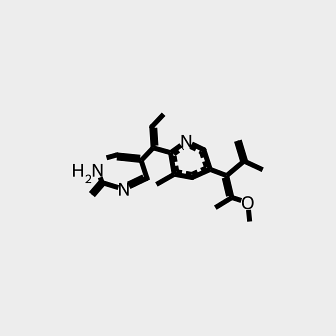 C=C(N)\N=C/C(=C\C)C(=C/C)/c1ncc(/C(C(=C)C)=C(\C)OC)cc1C